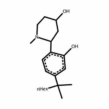 CCCCCCC(C)(C)c1ccc(C2CC(O)CCN2C)c(O)c1